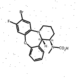 CN(C(=O)O)[C@@H]1CCCN2c3cc(Br)c(F)cc3Oc3ccccc3[C@@H]12